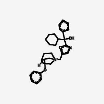 O[C@@](c1ccccc1)(c1ncc(C[N+]23CCC(CC2)[C@H](Oc2ccccc2)C3)o1)C1CCCCC1